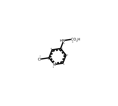 O=C(O)Nc1ccnc(Cl)c1